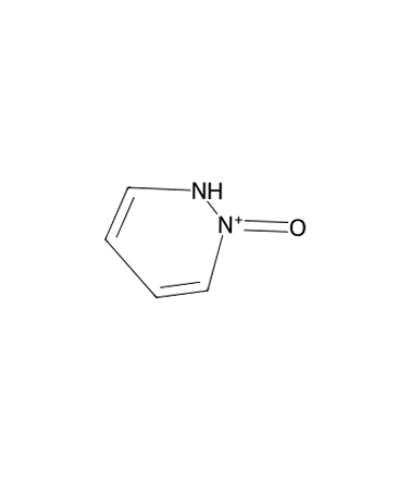 O=[n+]1cccc[nH]1